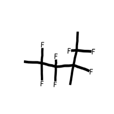 CC(F)(F)C(C)(F)C(F)(F)C(C)(F)F